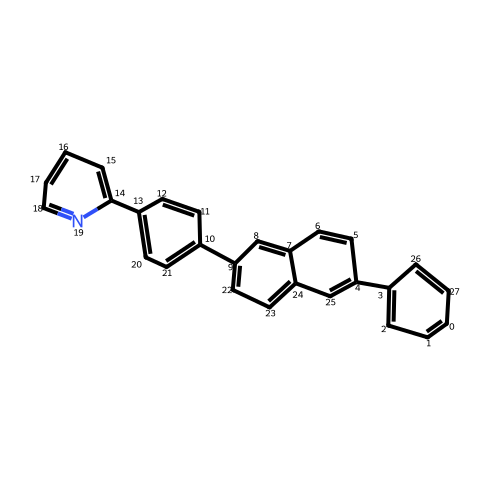 c1ccc(-c2ccc3cc(-c4ccc(-c5ccccn5)cc4)ccc3c2)cc1